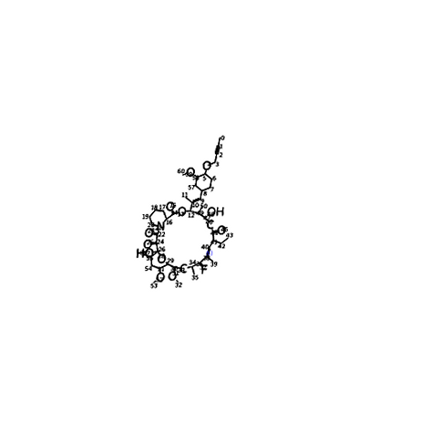 CC#CCOC1CCC(C=C(C)C2OC(=O)C3CCCCN3C(=O)C(=O)C3(O)OC(C(OC)CC(C)C(F)/C(C)=C/C(CC)C(=O)CC(O)C2C)C(OC)CC3C)CC1OC